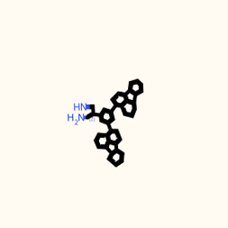 N=C/C(=C\N)c1cc(-c2ccc3c4c(cccc24)-c2ccccc2-3)cc(-c2ccc3c4c(cccc24)-c2ccccc2-3)c1